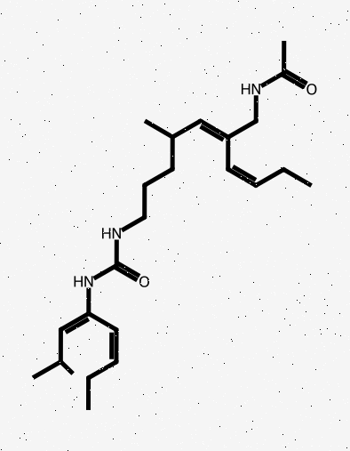 CC/C=C\C(=C/C(C)CCCNC(=O)NC(/C=C\CC)=C/C(C)C)CNC(C)=O